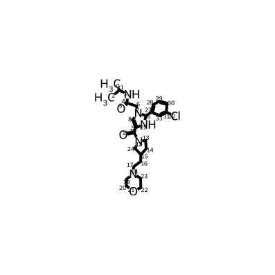 CC(C)NC(=O)CN1C=C(C(=O)N2CCC(CCN3CCOCC3)C2)NC1c1cccc(Cl)c1